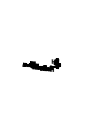 CNC(=O)c1ncccc1Nc1nc(Nc2ccc(N3CCN(C(=O)NC4CCC(NCCOCCC#Cc5cccc6c5CN(C5CCC(=O)NC5=O)C6=O)CC4)CC3)cc2)ncc1Cl